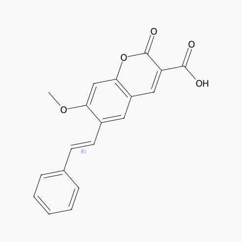 COc1cc2oc(=O)c(C(=O)O)cc2cc1/C=C/c1ccccc1